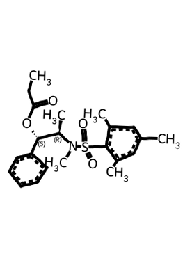 CCC(=O)O[C@@H](c1ccccc1)[C@@H](C)N(C)S(=O)(=O)c1c(C)cc(C)cc1C